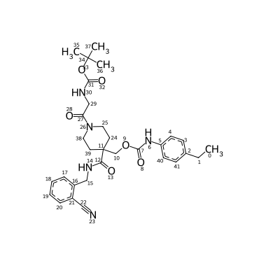 CCc1ccc(NC(=O)OCC2(C(=O)NCc3ccccc3C#N)CCN(C(=O)CNC(=O)OC(C)(C)C)CC2)cc1